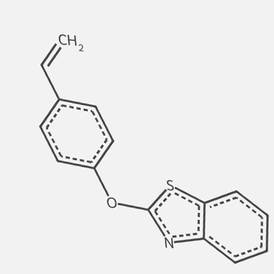 C=Cc1ccc(Oc2nc3ccccc3s2)cc1